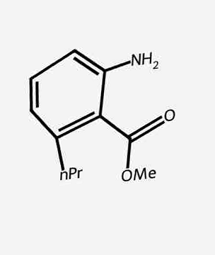 CCCc1cccc(N)c1C(=O)OC